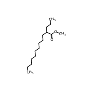 CCCCCCCCCCC(CCC)C(=O)OC